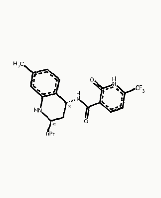 CCC[C@@H]1C[C@@H](NC(=O)c2ccc(C(F)(F)F)[nH]c2=O)c2ccc(C)cc2N1